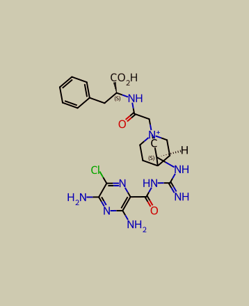 N=C(NC(=O)c1nc(Cl)c(N)nc1N)N[C@@H]1C[N+]2(CC(=O)N[C@@H](Cc3ccccc3)C(=O)O)CCC1CC2